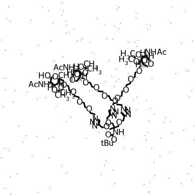 CC(=O)N[C@@H]1[C@H]2OC(C)(C)O[C@H]2[C@@](C)(COCCOCCOCCOCCn2cc(COCC(COCc3cn(CCOCCOCCOCCOC[C@@]45CO[C@@H](O4)[C@H](NC(C)=O)[C@H]4OC(C)(C)O[C@H]45)nn3)(COCc3cn(CCOCCOCCOCCOC[C@@]45CO[C@@H](O4)[C@H](NC(C)=O)[C@H]4OC(C)(C)O[C@H]45)nn3)NC(=O)OC(C)(C)C)nn2)O[C@@H]1O